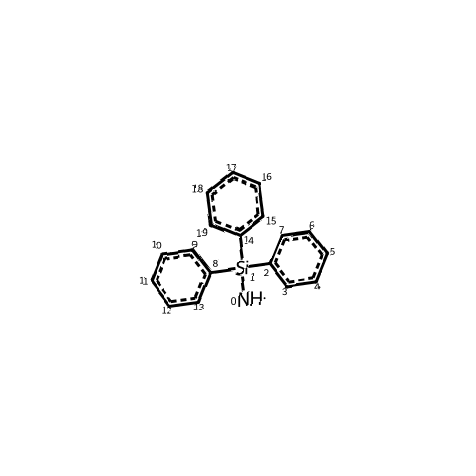 [NH][Si](c1ccccc1)(c1ccccc1)c1ccccc1